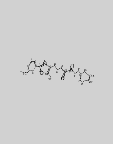 COc1cccc(-c2nc(CCCC(=O)NCCC3=CCCCC3)c(C)o2)c1